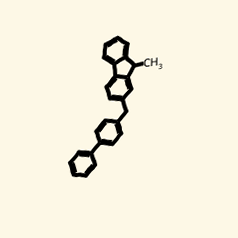 CC1c2ccccc2-c2ccc(Cc3ccc(-c4ccccc4)cc3)cc21